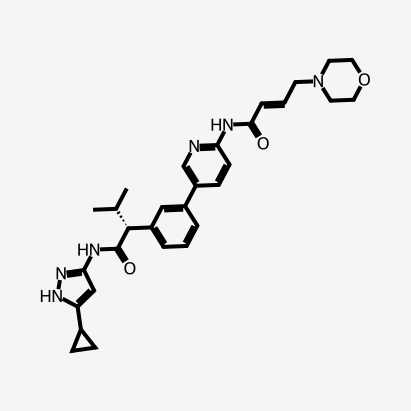 CC(C)[C@@H](C(=O)Nc1cc(C2CC2)[nH]n1)c1cccc(-c2ccc(NC(=O)/C=C/CN3CCOCC3)nc2)c1